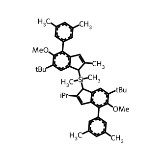 COc1c(C(C)(C)C)cc2c(c1-c1cc(C)cc(C)c1)C=C(C)C2[Si](C)(C)C1C(C(C)C)=Cc2c1cc(C(C)(C)C)c(OC)c2-c1cc(C)cc(C)c1